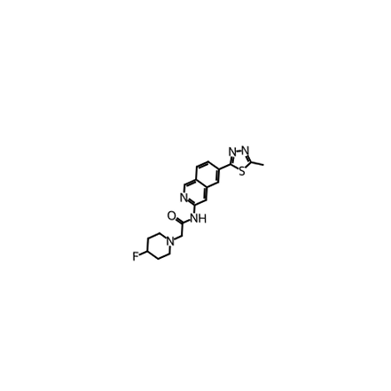 Cc1nnc(-c2ccc3cnc(NC(=O)CN4CCC(F)CC4)cc3c2)s1